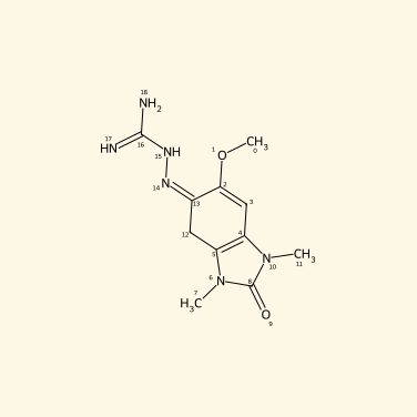 COC1=Cc2c(n(C)c(=O)n2C)CC1=NNC(=N)N